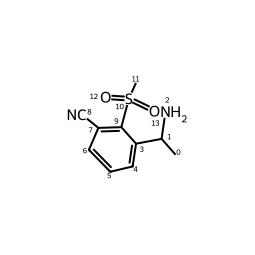 CC(N)c1cccc(C#N)c1S(C)(=O)=O